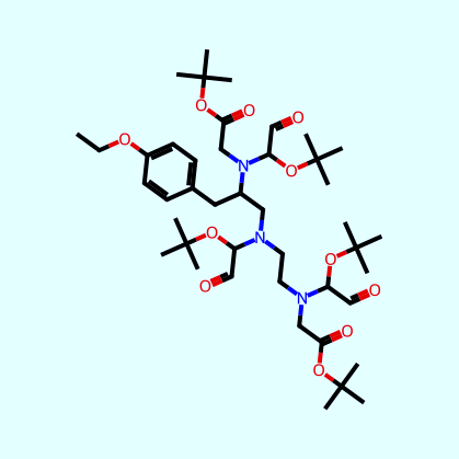 CCOc1ccc(CC(CN(CCN(CC(=O)OC(C)(C)C)C(C=O)OC(C)(C)C)C(C=O)OC(C)(C)C)N(CC(=O)OC(C)(C)C)C(C=O)OC(C)(C)C)cc1